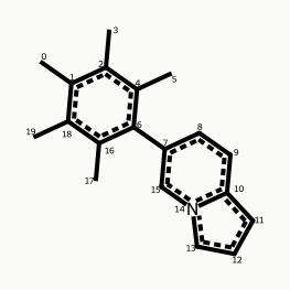 Cc1c(C)c(C)c(-c2ccc3cccn3c2)c(C)c1C